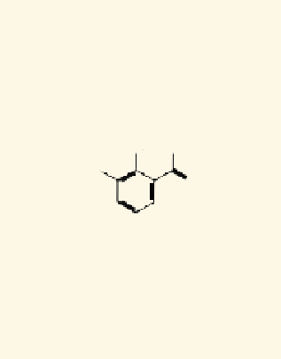 COc1c(C(=O)Cl)cccc1[N+](=O)[O-]